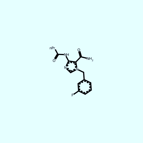 CCCC(=O)Nc1ncn(Cc2cccc(F)c2)c1C(N)=O